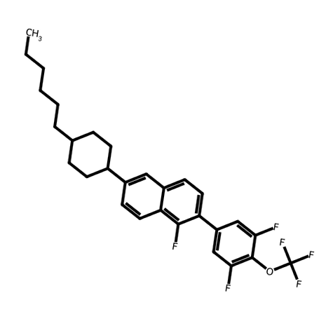 CCCCCCC1CCC(c2ccc3c(F)c(-c4cc(F)c(OC(F)(F)F)c(F)c4)ccc3c2)CC1